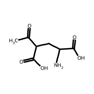 CC(=O)C(CC(N)C(=O)O)C(=O)O